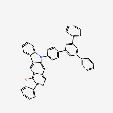 c1ccc(-c2cc(-c3ccccc3)cc(-c3ccc(-n4c5ccccc5c5cc6c(ccc7c8ccccc8oc67)cc54)cc3)c2)cc1